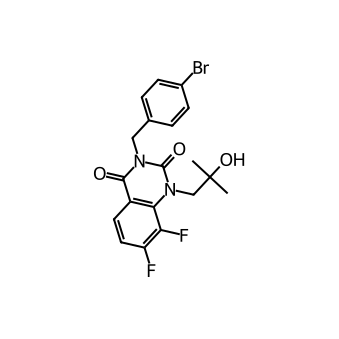 CC(C)(O)Cn1c(=O)n(Cc2ccc(Br)cc2)c(=O)c2ccc(F)c(F)c21